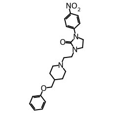 O=C1N(CCN2CCC(COc3ccccc3)CC2)CCN1c1ccc([N+](=O)[O-])cc1